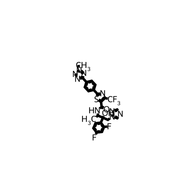 CC(NC(=O)c1sc(-c2ccc(-c3nnn(C)n3)cc2)nc1C(F)(F)F)C(O)(Cn1cncn1)c1ccc(F)cc1F